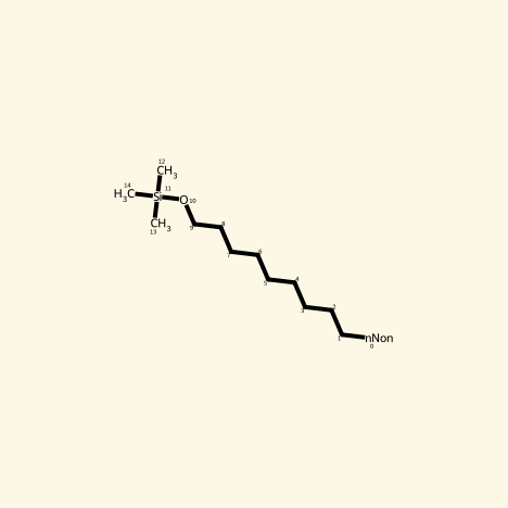 CCCCCCCCCCCCCCCCCCO[Si](C)(C)C